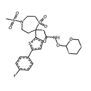 CS(=O)(=O)N1CCC(CC(=O)NOC2CCCCO2)(c2ccc(-c3ccc(F)cc3)s2)S(=O)(=O)CC1